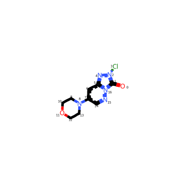 O=c1n(Cl)nc2cc(N3CCOCC3)cnn12